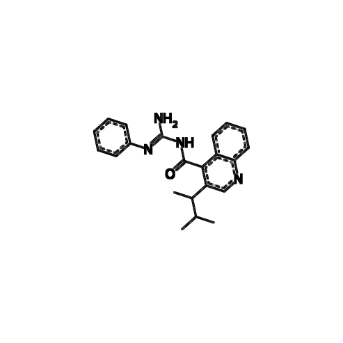 CC(C)C(C)c1cnc2ccccc2c1C(=O)NC(N)=Nc1ccccc1